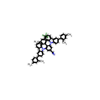 Cc1cc(-c2c(-n3c4ccccc4c4cc(-c5ccc(C)cc5C)ccc43)cc(C#N)cc2-n2c3ccccc3c3cc(-c4ccc(C)cc4C)ccc32)cc(C(F)(F)F)c1